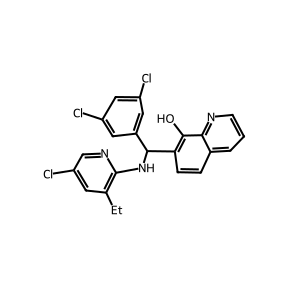 CCc1cc(Cl)cnc1NC(c1cc(Cl)cc(Cl)c1)c1ccc2cccnc2c1O